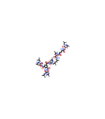 CC(C)CNC(=O)[C@@H](CC(C)C)ONC(=O)/C=C/CC(=O)NO[C@H](CC(C)C)C(=O)NCC(C)CCC(C)CNC(=O)[C@@H](CC(C)C)ONC(=O)c1cc(C(=O)NO[C@H](CC(C)C)C(=O)NCC(C)C)cc(C(=O)NO[C@H](CC(C)C)C(=O)NCC(C)C)c1